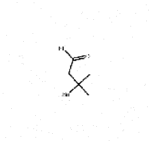 CCC(=O)CC(C)(C)C(C)(C)C